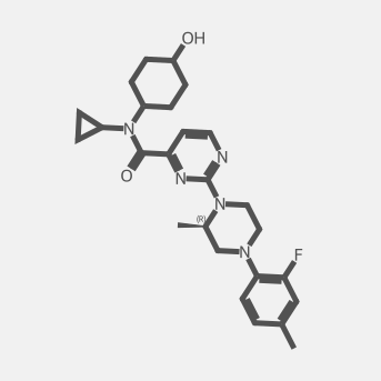 Cc1ccc(N2CCN(c3nccc(C(=O)N(C4CCC(O)CC4)C4CC4)n3)[C@H](C)C2)c(F)c1